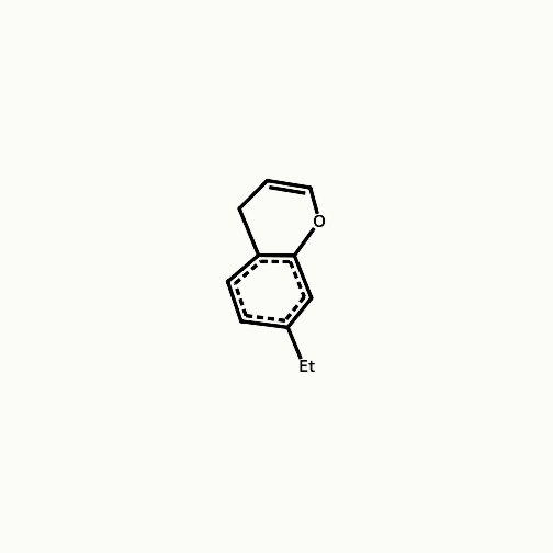 CCc1ccc2c(c1)OC=CC2